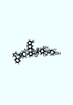 CC(C)c1ccccc1C1CCCN1C1CC2(CCN(c3ccc(C(=O)NS(=O)(=O)c4cc(N)c5c(c4)OC[C@H]([C@H]4CC[C@](C)(O)CC4)N5)c(Oc4cc5c(nc4C#N)CC=C5F)c3)CC2)C1